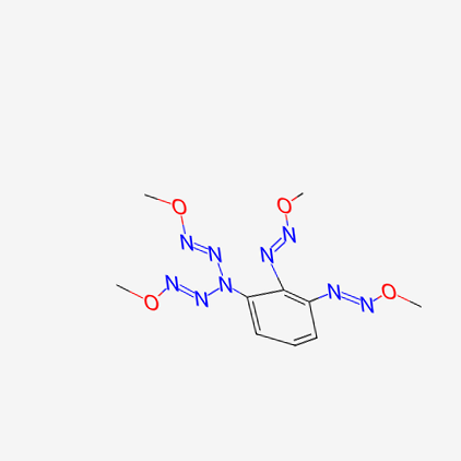 CON=Nc1cccc(N(N=NOC)N=NOC)c1N=NOC